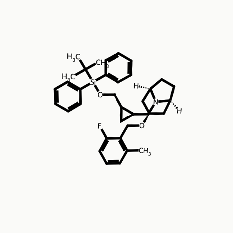 Cc1cccc(F)c1CO[C@H]1C[C@H]2CC[C@@H](C1)N2CC1CC1CO[Si](c1ccccc1)(c1ccccc1)C(C)(C)C